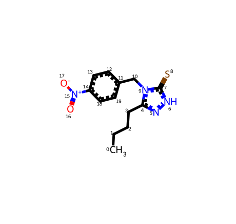 CCCCc1n[nH]c(=S)n1Cc1ccc([N+](=O)[O-])cc1